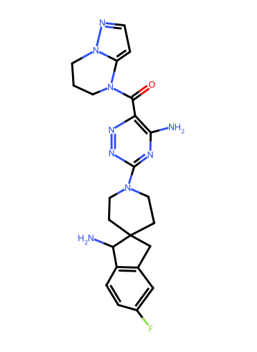 Nc1nc(N2CCC3(CC2)Cc2cc(F)ccc2C3N)nnc1C(=O)N1CCCn2nccc21